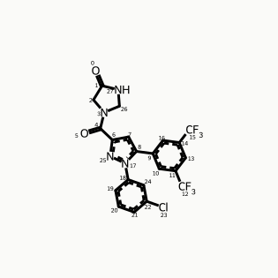 O=C1CN(C(=O)c2cc(-c3cc(C(F)(F)F)cc(C(F)(F)F)c3)n(-c3cccc(Cl)c3)n2)CN1